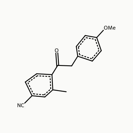 COc1ccc(CC(=O)c2ccc(C#N)cc2C)cc1